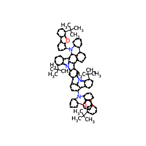 CC(C)(C)c1cccc2c1oc1c(N(c3ccccc3-c3ccccc3)c3ccc4c5cc6c(cc5n5c7c(C(C)(C)C)cccc7c3c45)c3ccc(N(c4ccccc4-c4ccccc4)c4cccc5c4oc4c(C(C)(C)C)cccc45)c4c5cccc(C(C)(C)C)c5n6c34)cccc12